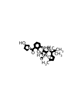 Cc1ccc(C(Nc2n[s+]([O-])nc2Nc2cccc(C(=O)N3CCC(O)C3)c2O)C(C)(C)C)o1